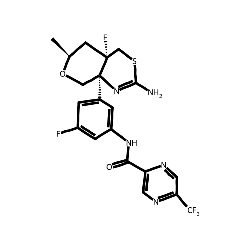 C[C@H]1C[C@@]2(F)CSC(N)=N[C@@]2(c2cc(F)cc(NC(=O)c3cnc(C(F)(F)F)cn3)c2)CO1